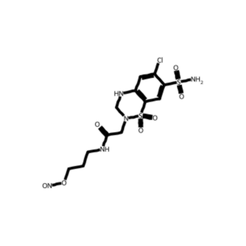 NS(=O)(=O)c1cc2c(cc1Cl)NCN(CC(=O)NCCCON=O)S2(=O)=O